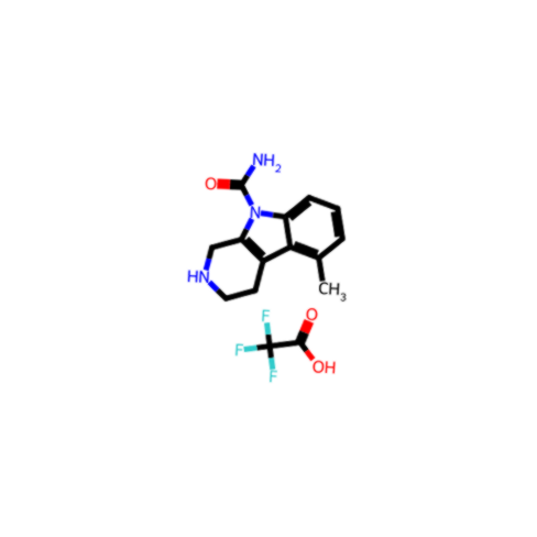 Cc1cccc2c1c1c(n2C(N)=O)CNCC1.O=C(O)C(F)(F)F